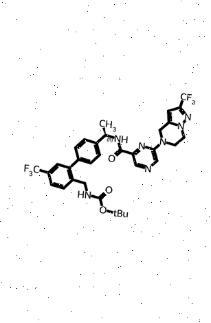 C[C@@H](NC(=O)c1cncc(N2CCn3nc(C(F)(F)F)cc3C2)n1)c1ccc(-c2cc(C(F)(F)F)ccc2CNC(=O)OC(C)(C)C)cc1